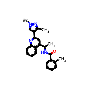 Cc1ccccc1C(=O)NC(C)c1cc(-c2cn(C(C)C)nc2C)nc2ccccc12